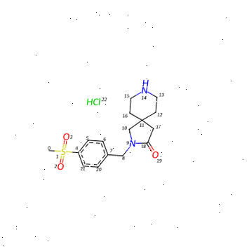 CS(=O)(=O)c1ccc(CN2CC3(CCNCC3)CC2=O)cc1.Cl